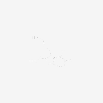 C[CH]OCc1c(OC)sc2ccc(Cl)c(Cl)c12